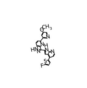 COc1cncc(-c2ccc3[nH]nc(-c4cc5c(-c6ccc(F)s6)ccnc5[nH]4)c3n2)c1